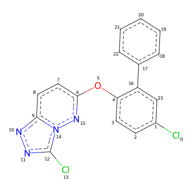 Clc1ccc(Oc2ccc3nnc(Cl)n3n2)c(-c2[c]cccc2)c1